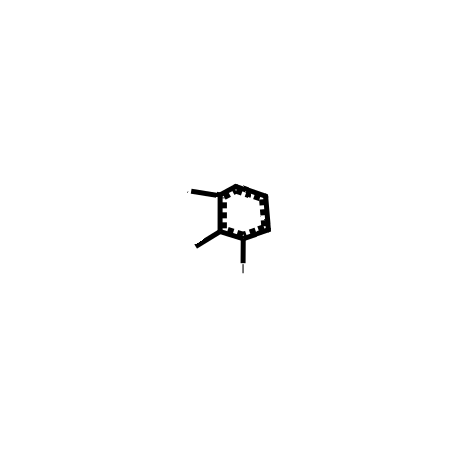 [CH2]c1cccc(I)c1C